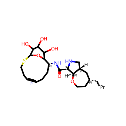 CC(C)C[C@@H]1CCO[C@@H]2[C@H](CN[C@@H]2C(=O)N[C@@H]2CC/C=C\CCSC3OC2C(O)C(O)C3O)C1